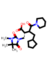 CN1C(=O)N(C[C@H](C(=O)O)C(CC2CCCC2)C(=O)N2CCCCC2)C(=O)C1(C)C